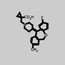 Cc1ccc2c(c1)COc1ccc(F)cc1C2=C1CCN(CC2(C(=O)O)CC2)CC1